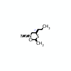 C=C(Cl)S/C(=C\CC)CN=[N+]=[N-]